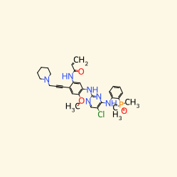 C=CC(=O)Nc1cc(Nc2ncc(Cl)c(Nc3ccccc3P(C)(C)=O)n2)c(OC)cc1C#CCN1CCCCC1